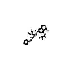 CCN(C=O)/C(COCc1ccccc1)=N\N(C)c1cc(OC(C)C(F)(F)F)c2c(Cl)nccc2c1